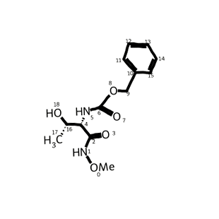 CONC(=O)[C@@H](NC(=O)OCc1ccccc1)[C@H](C)O